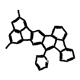 Cc1cc2cc(C)cc3c4cc5c(cc4c(c1)c23)c(-c1ccccn1)c1c2ccccc2c2cccc5c21